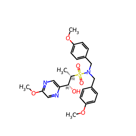 COc1ccc(CN(Cc2ccc(OC)cc2)S(=O)(=O)[C@@H](C)[C@H](O)c2cnc(OC)cn2)cc1